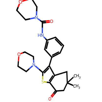 CC1(C)CC(=O)c2sc(N3CCOCC3)c(-c3cccc(NC(=O)N4CCOCC4)c3)c2C1